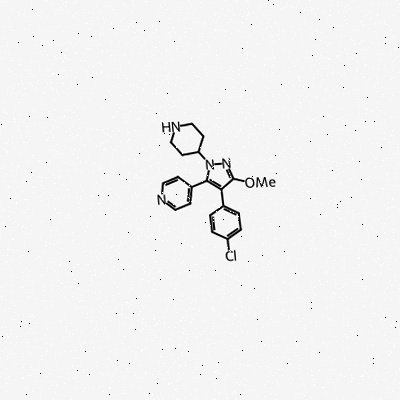 COc1nn(C2CCNCC2)c(-c2ccncc2)c1-c1ccc(Cl)cc1